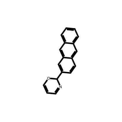 C1=COC(c2ccc3cc4ccccc4cc3c2)N=C1